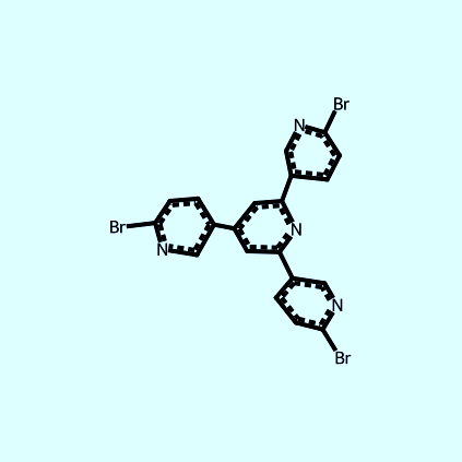 Brc1ccc(-c2cc(-c3ccc(Br)nc3)nc(-c3ccc(Br)nc3)c2)cn1